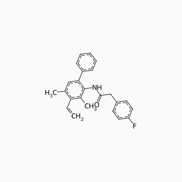 C=Cc1c(C)cc(-c2ccccc2)c(NC(=O)Cc2ccc(F)cc2)c1C